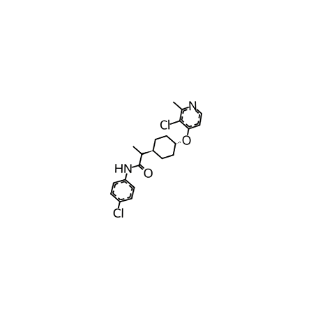 Cc1nccc(O[C@H]2CC[C@H](C(C)C(=O)Nc3ccc(Cl)cc3)CC2)c1Cl